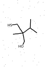 CC(C)C(C)(CO)CS